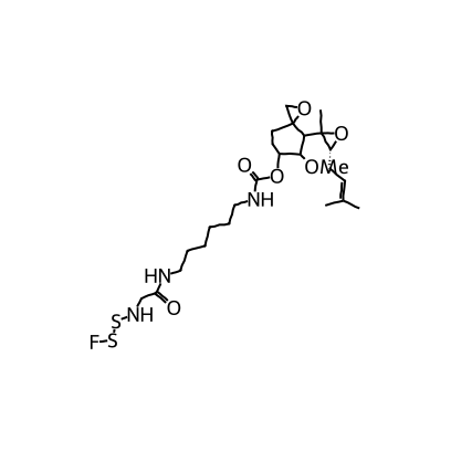 COC1C(OC(=O)NCCCCCCNC(=O)CNSSF)CCC2(CO2)C1C1(C)O[C@@H]1CC=C(C)C